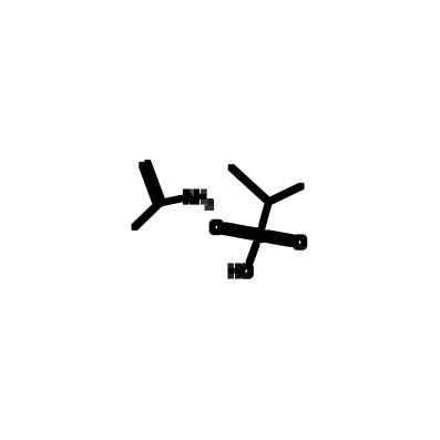 C=C(C)N.CC(C)S(=O)(=O)O